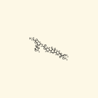 C=CC(=O)Oc1ccc(CCC(=O)Oc2ccc(-c3ccc(-c4ccc(OC(=O)C(=C)C)cc4)c(F)c3F)cc2)cc1OC(=O)C=C